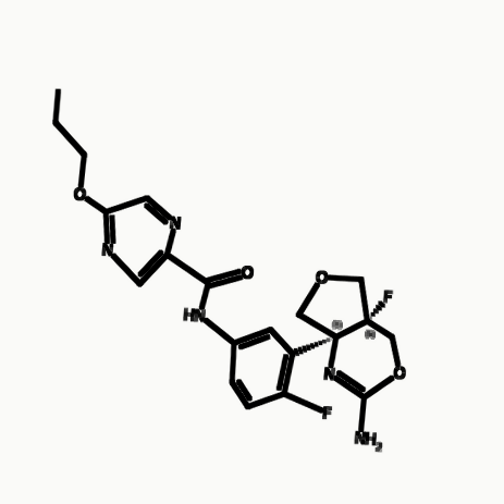 CCCOc1cnc(C(=O)Nc2ccc(F)c([C@]34COC[C@@]3(F)COC(N)=N4)c2)cn1